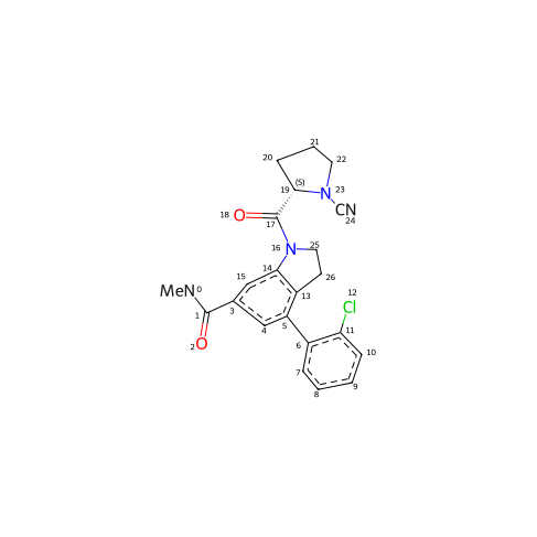 CNC(=O)c1cc(-c2ccccc2Cl)c2c(c1)N(C(=O)[C@@H]1CCCN1C#N)CC2